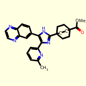 COC(=O)C12CCC(c3nc(-c4cccc(C)n4)c(-c4ccc5nccnc5c4)[nH]3)(CC1)CC2